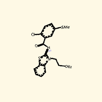 COCCn1/c(=N/C(=O)c2cc(SC)ccc2Cl)sc2ccccc21